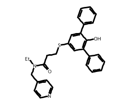 CCN(Cc1ccncc1)C(=O)CCSc1cc(-c2ccccc2)c(O)c(-c2ccccc2)c1